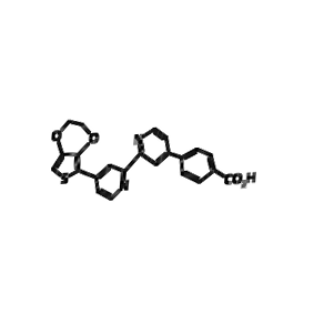 O=C(O)c1ccc(-c2ccnc(-c3cc(-c4scc5c4OCCO5)ccn3)c2)cc1